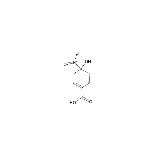 O=C(O)C1=CCC(O)([N+](=O)[O-])C=C1